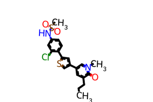 CCCc1cc(-c2csc(-c3ccc(NS(C)(=O)=O)cc3Cl)c2)cn(C)c1=O